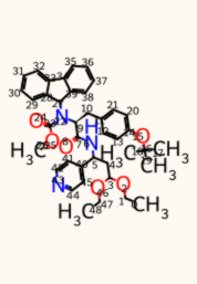 CCOC(CC(NC(=O)[C@H](Cc1ccc(OC(C)(C)C)cc1)N(C(=O)OC)C1c2ccccc2-c2ccccc21)c1ccncc1)OCC